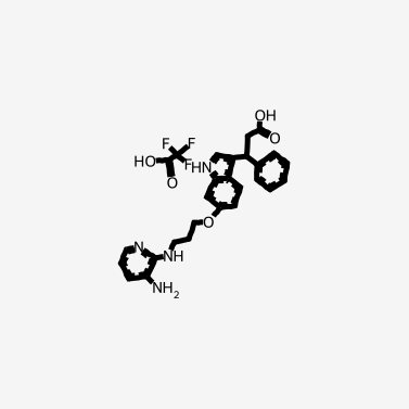 Nc1cccnc1NCCCOc1ccc2c(C(CC(=O)O)c3ccccc3)c[nH]c2c1.O=C(O)C(F)(F)F